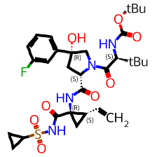 C=C[C@@H]1C[C@]1(NC(=O)[C@@H]1C[C@@](O)(c2cccc(F)c2)CN1C(=O)[C@@H](NC(=O)OC(C)(C)C)C(C)(C)C)C(=O)NS(=O)(=O)C1CC1